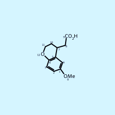 COc1ccc2c(c1)C(CC(=O)O)CCO2